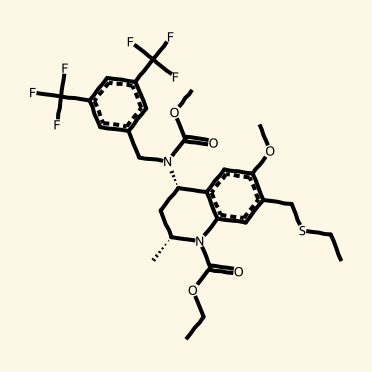 CCOC(=O)N1c2cc(CSCC)c(OC)cc2[C@@H](N(Cc2cc(C(F)(F)F)cc(C(F)(F)F)c2)C(=O)OC)C[C@H]1C